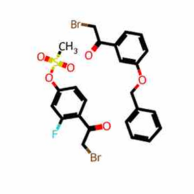 CS(=O)(=O)Oc1ccc(C(=O)CBr)c(F)c1.O=C(CBr)c1cccc(OCc2ccccc2)c1